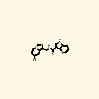 O=C(NCc1ncn2ccc(Cl)cc12)c1c[nH]c2cccnc12